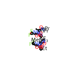 C#Cc1cc(C(=O)N(CCC)CCC)cc(C(=O)N(Cc2cccc(C(F)(F)F)c2)C[C@@H](O)[C@@H](N)Cc2cc(F)cc(F)c2)c1.CCc1cccc(CN(C[C@@H](O)[C@@H](N)Cc2cc(F)cc(F)c2)C(=O)c2cc(C)cc(C(=O)N3CCC[C@@H]3COC)c2)c1